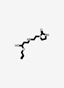 C=CCOC(O)CCNCCN1CCNC1=O